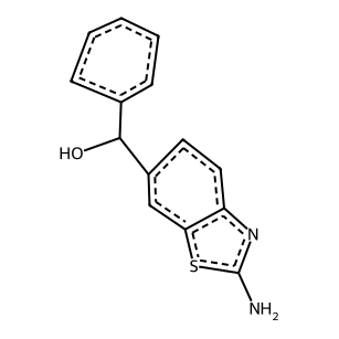 Nc1nc2ccc(C(O)c3ccccc3)cc2s1